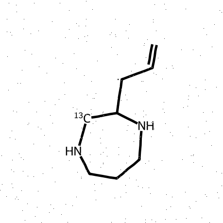 C=C[CH]C1[13CH2]NCCCN1